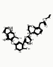 CCOC(=O)Cc1cccc2c1OCC[C@@H]2c1c[nH]c(-c2cc(Oc3c(F)cc4[nH]ccc4c3F)ccc2F)n1